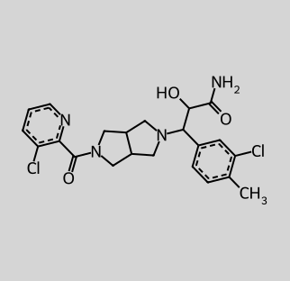 Cc1ccc(C(C(O)C(N)=O)N2CC3CN(C(=O)c4ncccc4Cl)CC3C2)cc1Cl